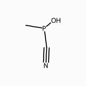 CP(O)C#N